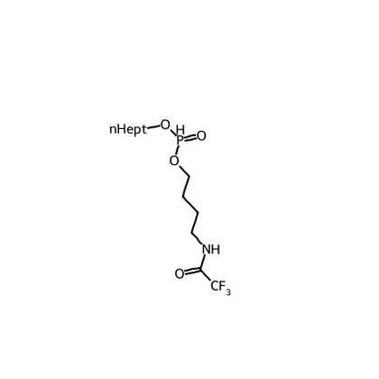 CCCCCCCO[PH](=O)OCCCCNC(=O)C(F)(F)F